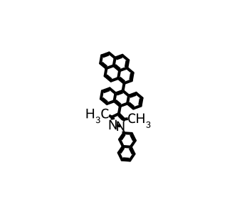 Cc1nn(-c2ccc3ccccc3c2)c(C)c1-c1c2ccccc2c(-c2ccc3ccc4cccc5ccc2c3c45)c2ccccc12